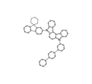 c1ccc(-c2ccc(-c3cccc(-n4c5ccccc5c5c6c7ccccc7n(-c7ccc8c(c7)C7(CCCCC7)c7ccccc7-8)c6ccc54)c3)cc2)cc1